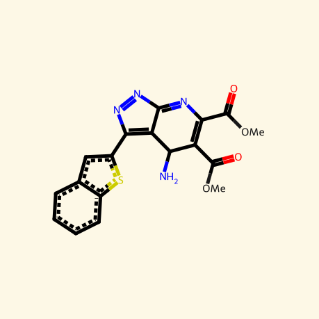 COC(=O)C1=C(C(=O)OC)C(N)C2=C(c3cc4ccccc4s3)N=NC2=N1